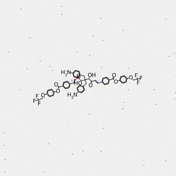 Nc1ccc(CC(Cc2ccc(N)cc2)(C(O)C(=O)/C=C/c2ccc(C(=O)Oc3ccc(OCC(F)(F)F)cc3)cc2)C(O)C(=O)/C=C/c2ccc(C(=O)Oc3ccc(OCC(F)(F)F)cc3)cc2)cc1